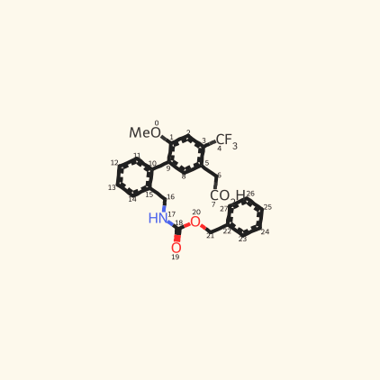 COc1cc(C(F)(F)F)c(CC(=O)O)cc1-c1ccccc1CNC(=O)OCc1ccccc1